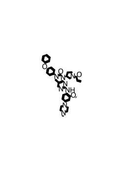 C=CC(=O)N1CC[C@H](N2C(=O)N(c3ccc(Oc4ccccc4)cc3)Cc3cnc(Nc4ccc(N5CCN(C)CC5)cc4OC)nc32)C1